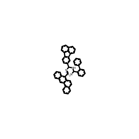 NC(NC(/N=C/c1c2ccccc2cc2c1ccc1ccccc12)c1ccc2c(c1)-c1cccc3cccc-2c13)c1ccccc1-c1ccccc1